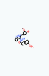 CCC(Cc1ccc(O)cc1)C(=O)Nc1c(-c2ccc(OC)c(OC)c2)[nH]c2ccccc12